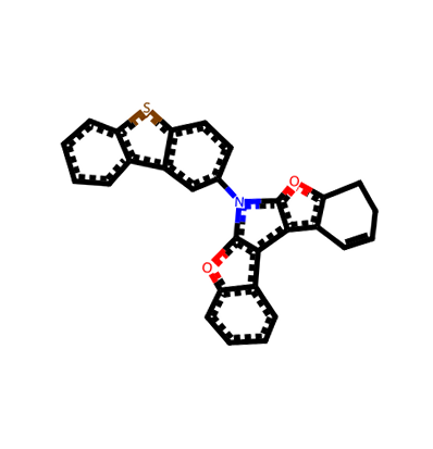 C1=Cc2c(oc3c2c2c4ccccc4oc2n3-c2ccc3sc4ccccc4c3c2)CC1